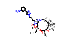 B[C@@H]1[C@@H](C)C(=O)[C@@H](C)C(=O)O[C@H](CC=C)[C@@]2(C)OC(=O)N(CCCCn3cc(-c4cccc(N)c4)nn3)[C@@H]2[C@@H](C)NC[C@H](C)C[C@@]1(C)OC